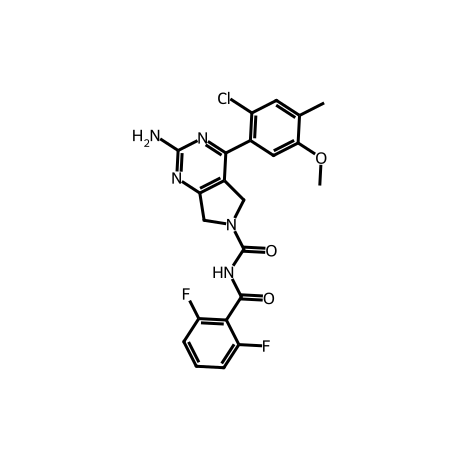 COc1cc(-c2nc(N)nc3c2CN(C(=O)NC(=O)c2c(F)cccc2F)C3)c(Cl)cc1C